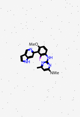 CNc1cc(C)nc(Nc2ccc(OC)c(-c3cc4[nH]ccc4cn3)c2I)n1